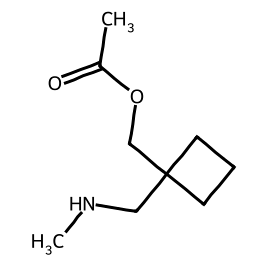 CNCC1(COC(C)=O)CCC1